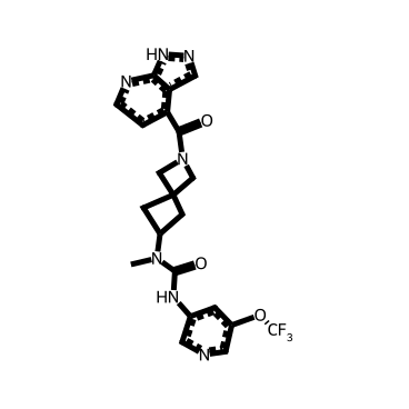 CN(C(=O)Nc1cncc(OC(F)(F)F)c1)C1CC2(C1)CN(C(=O)c1ccnc3[nH]ncc13)C2